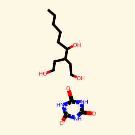 CCCCCC(O)C(CCO)CCO.O=c1[nH]c(=O)[nH]c(=O)[nH]1